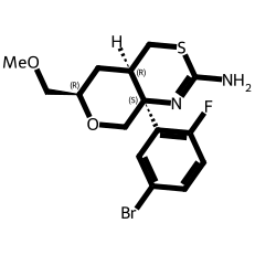 COC[C@H]1C[C@H]2CSC(N)=N[C@@]2(c2cc(Br)ccc2F)CO1